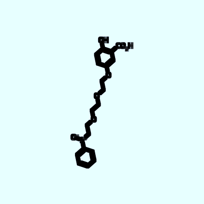 O=C(O)c1cc(OCCOCCOCC[S+]([O-])c2ccccc2)ccc1O